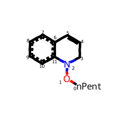 CCCCCON1CC=Cc2ccccc21